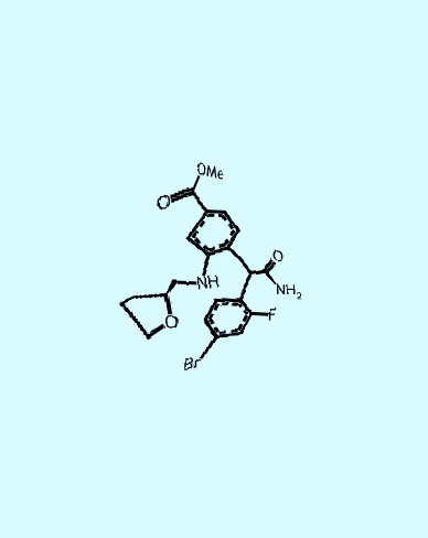 COC(=O)c1ccc(C(C(N)=O)c2ccc(Br)cc2F)c(NC[C@@H]2CCO2)c1